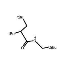 CC(C)COCNC(=O)C(CC(C)(C)C)C(C)(C)C